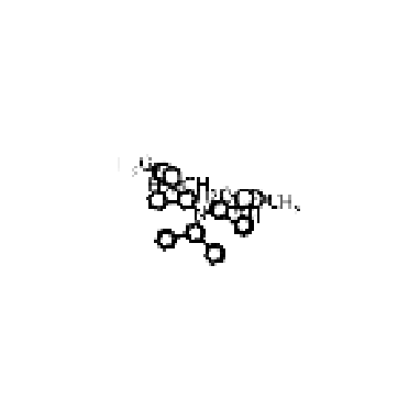 C[C@@H]1CC2C[C@@H](C1)[C@@]1(c3ccccc3-c3cc(N(c4cc(-c5ccccc5)cc(-c5ccccc5)c4)c4ccc5c(c4)-c4ccccc4[C@]54[C@H]5CC(C[C@@H](C)C5)C[C@@H]4C)ccc31)[C@@H](C)C2